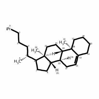 CC(C)CCC[C@@H](C)C1CC[C@H]2[C@@H]3CC=C4CCCC[C@]4(C)[C@H]3CC[C@]12C